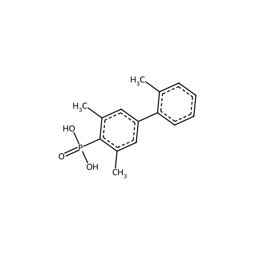 Cc1ccccc1-c1cc(C)c(P(=O)(O)O)c(C)c1